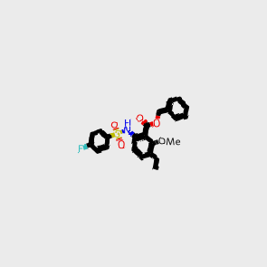 C=Cc1ccc(NS(=O)(=O)c2ccc(F)cc2)c(C(=O)OCc2ccccc2)c1OC